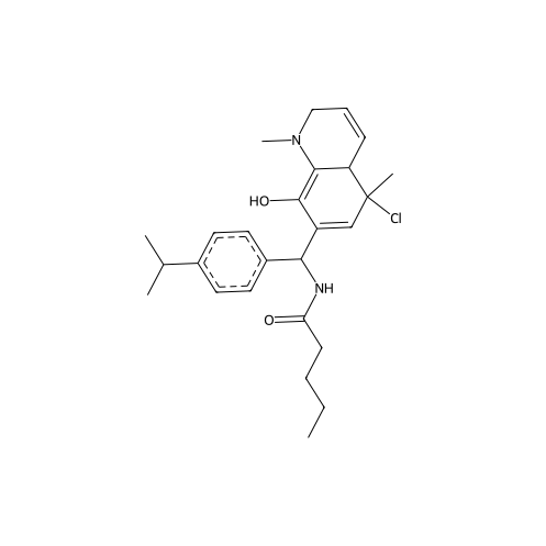 CCCCC(=O)NC(C1=CC(C)(Cl)C2C=CCN(C)C2=C1O)c1ccc(C(C)C)cc1